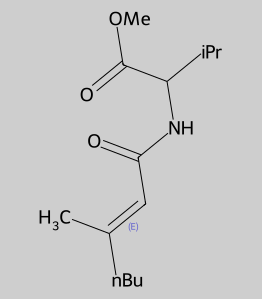 CCCC/C(C)=C/C(=O)NC(C(=O)OC)C(C)C